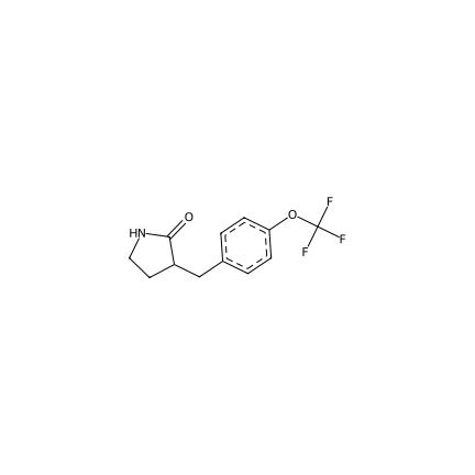 O=C1NCCC1Cc1ccc(OC(F)(F)F)cc1